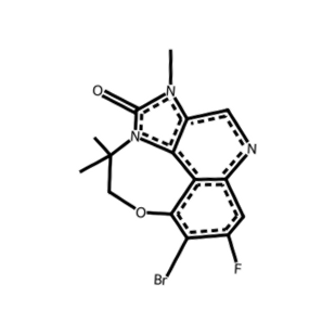 Cn1c(=O)n2c3c4c(c(Br)c(F)cc4ncc31)OCC2(C)C